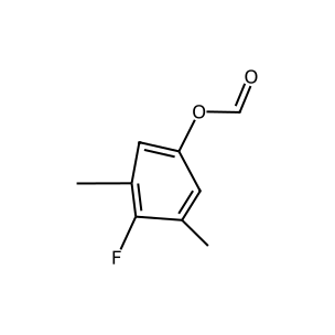 Cc1cc(OC=O)cc(C)c1F